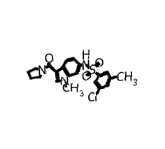 Cc1cc(Cl)cc(S(=O)(=O)Nc2ccc3c(C(=O)N4CCCC4)cn(C)c3c2)c1